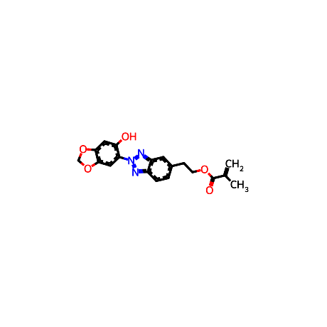 C=C(C)C(=O)OCCc1ccc2nn(-c3cc4c(cc3O)OCO4)nc2c1